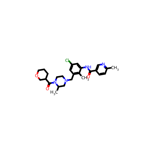 Cc1ccc(C(=O)Nc2cc(Cl)cc(CN3CCN(C(=O)C4CCCOC4)C(C)C3)c2C)cn1